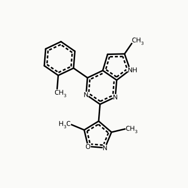 Cc1cc2c(-c3ccccc3C)nc(-c3c(C)noc3C)nc2[nH]1